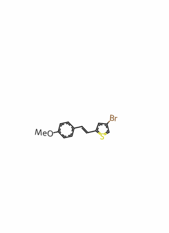 COc1ccc(/C=C/c2cc(Br)cs2)cc1